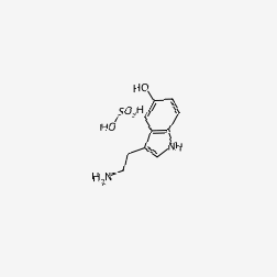 NCCc1c[nH]c2ccc(O)cc12.O=S(=O)(O)O